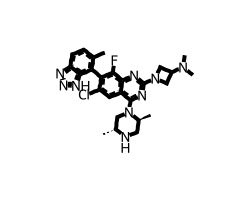 Cc1ccc2nn[nH]c2c1-c1c(Cl)cc2c(N3C[C@@H](C)NC[C@@H]3C)nc(N3CC(N(C)C)C3)nc2c1F